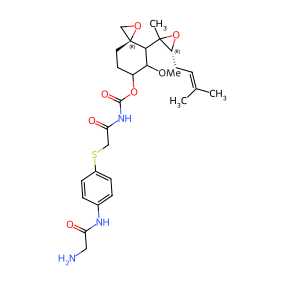 COC1C(OC(=O)NC(=O)CSc2ccc(NC(=O)CN)cc2)CC[C@]2(CO2)C1C1(C)O[C@@H]1CC=C(C)C